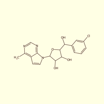 Cc1ncnc2c1ccn2C1OC(C(O)c2cccc(Cl)c2)C(O)C1O